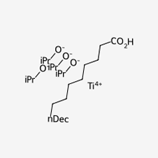 CC(C)[O-].CC(C)[O-].CC(C)[O-].CC(C)[O-].CCCCCCCCCCCCCCCCCC(=O)O.[Ti+4]